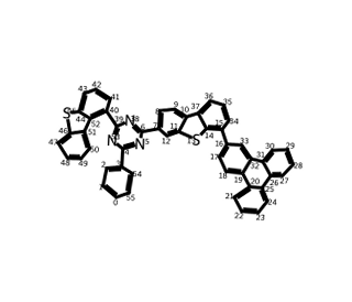 c1ccc(-c2nc(-c3ccc4c(c3)sc3c(-c5ccc6c7ccccc7c7ccccc7c6c5)cccc34)nc(-c3cccc4sc5ccccc5c34)n2)cc1